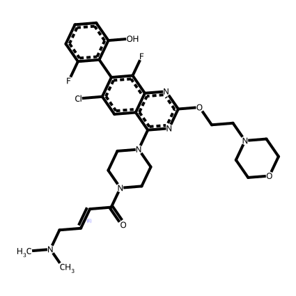 CN(C)C/C=C/C(=O)N1CCN(c2nc(OCCN3CCOCC3)nc3c(F)c(-c4c(O)cccc4F)c(Cl)cc23)CC1